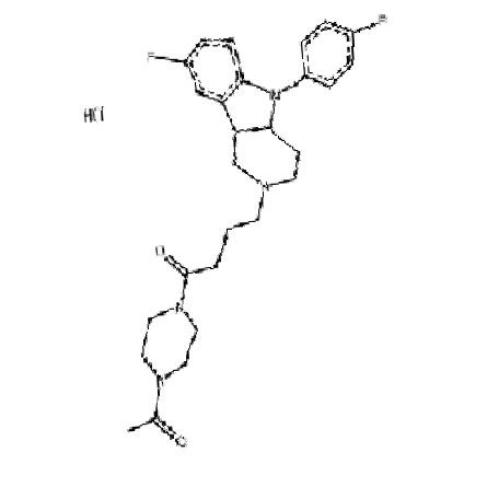 CC(=O)N1CCN(C(=O)CCCN2CCC3C(C2)c2cc(F)ccc2N3c2ccc(F)cc2)CC1.Cl